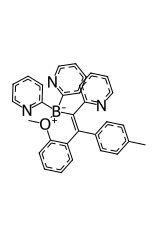 Cc1ccc(C2=C(c3ccccn3)[B-](c3ccccn3)(c3ccccn3)[O+](C)c3ccccc32)cc1